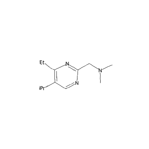 CCc1nc(CN(C)C)ncc1C(C)C